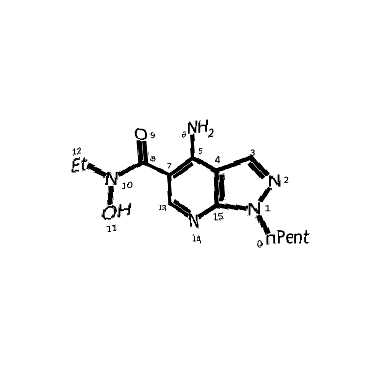 CCCCCn1ncc2c(N)c(C(=O)N(O)CC)cnc21